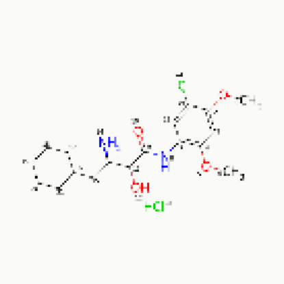 COc1cc(OC)c(NC(=O)C(O)[C@H](N)CC2CCCCC2)cc1Cl.Cl